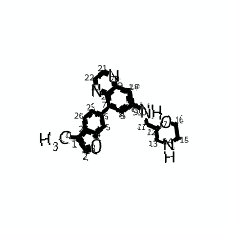 Cc1coc2cc(-c3cc(NCC4CNCCO4)cc4nccnc34)ccc12